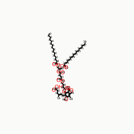 CCCCCCCCCCCCCCCC(=O)OCC(COC(=O)CCCCCCCCCCCCCCC)OC(=O)CCC(=O)OCCCC(=O)Oc1c(C/C=C(\C)CCC(=O)O)c(OC)c(C)c2c1C(=O)OC2